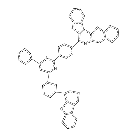 c1ccc(-c2cc(-c3cccc(-c4cccc5c4oc4ccccc45)c3)nc(-c3ccc(-c4nc5cc6ccccc6cc5c5c4sc4ccccc45)cc3)n2)cc1